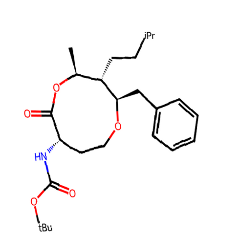 CC(C)CC[C@H]1[C@H](C)OC(=O)[C@@H](NC(=O)OC(C)(C)C)CCO[C@@H]1Cc1ccccc1